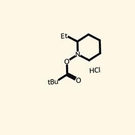 CCC1CCCCN1OC(=O)C(C)(C)C.Cl